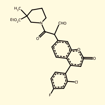 CCOC(=O)C1(C)CCCN(C(=O)C(C=O)c2ccc3c(-c4ccc(F)cc4Cl)cc(=O)oc3c2)C1